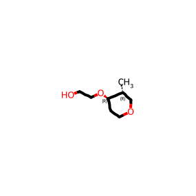 C[C@@H]1COCC[C@H]1OCCO